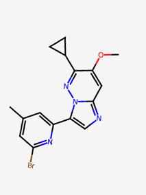 COc1cc2ncc(-c3cc(C)cc(Br)n3)n2nc1C1CC1